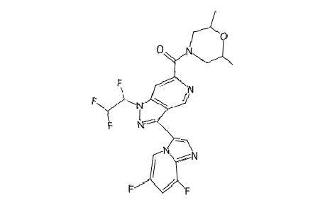 CC1CN(C(=O)c2cc3c(cn2)c(-c2cnc4c(F)cc(F)cn24)nn3C(F)C(F)F)CC(C)O1